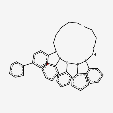 c1ccc(-c2ccc(P3CCCCCCCCCPP(c4ccccc4)P(c4ccccc4)P(c4ccccc4)P3c3ccccc3)cc2)cc1